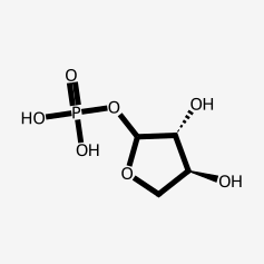 O=P(O)(O)OC1OC[C@H](O)[C@H]1O